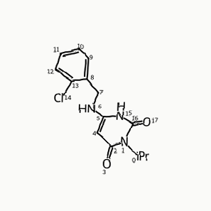 CC(C)n1c(=O)cc(NCc2ccccc2Cl)[nH]c1=O